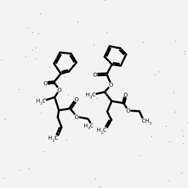 C=CCC(C(=O)OCC)C(C)OC(=O)c1ccccc1.C=CCC(C(=O)OCC)C(C)OC(=O)c1ccccc1